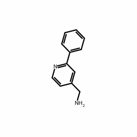 NCc1ccnc(-c2ccccc2)c1